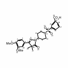 COc1ccc(C2=NN(C3CCN(S(=O)(=O)c4cccc(C(=O)O)c4)CC3)C(=O)C2(C)C)cc1OC